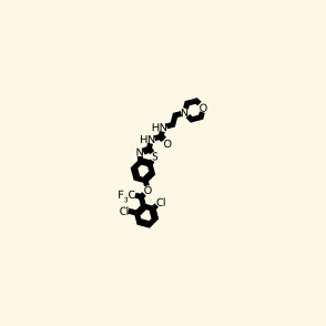 O=C(NCCN1CCOCC1)Nc1nc2ccc(OC(c3c(Cl)cccc3Cl)C(F)(F)F)cc2s1